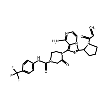 C=CC(=O)N1CCCC1c1nc(N2CCN(C(=O)Nc3ccc(C(F)(F)F)cc3)CC2=O)c2c(N)nccn12